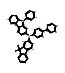 CC1(C)c2ccccc2-c2ccc(N(c3ccc(-c4ccccc4)cc3)c3ccc4c5ccccc5n(-c5ccccc5)c4c3)cc21